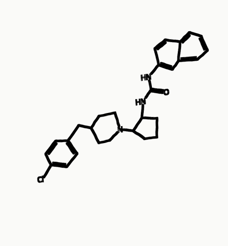 O=C(Nc1ccc2ccccc2c1)NC1CCCC1N1CCC(Cc2ccc(Cl)cc2)CC1